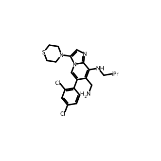 CC(C)CNc1c(CN)c(-c2ccc(Cl)cc2Cl)cn2c(N3CCSCC3)cnc12